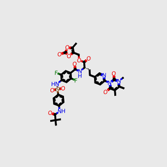 Cc1oc(=O)oc1COC(=O)[C@H](CCc1ccc(-n2c(=O)c(C)c(C)n(C)c2=O)nc1)NC(=O)c1cc(F)c(NS(=O)(=O)c2ccc(NC(=O)C(C)(C)C)cc2)cc1F